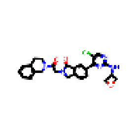 O=C(CN1Cc2ccc(-c3nc(NC4COC4)ncc3Cl)cc2C1=O)N1CCc2ccccc2C1